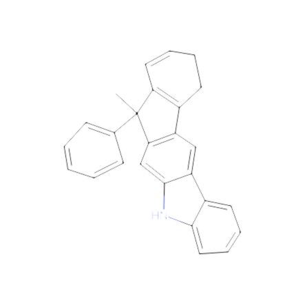 CC1(c2ccccc2)C2=C(CCC=C2)c2cc3c(cc21)[nH]c1ccccc13